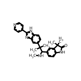 CNC(c1ccc2c(c1)C(C)(C)C(=O)N2)C(C)(C)c1ccc2[nH]c(-c3ccncc3)nc2c1